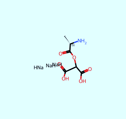 C[C@H](N)C(=O)OC(C(=O)O)C(=O)O.[NaH].[NaH].[NaH]